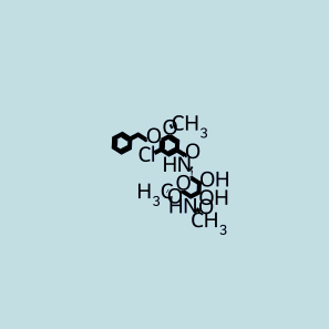 COc1cc(C(=O)NC[C@H]2O[C@H](OC)[C@H](NC(C)=O)[C@@H](O)[C@@H]2O)cc(Cl)c1OCCc1ccccc1